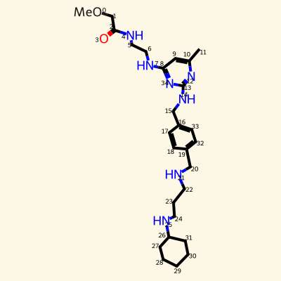 COCC(=O)NCCNc1cc(C)nc(NCc2ccc(CNCCCNC3CCCCC3)cc2)n1